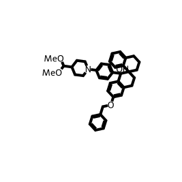 COC(OC)C1CCN(c2ccc(C3(O)c4ccc(OCc5ccccc5)cc4CCC34CCCc3ccccc34)cc2)CC1